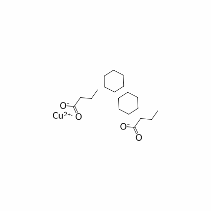 C1CCCCC1.C1CCCCC1.CCCC(=O)[O-].CCCC(=O)[O-].[Cu+2]